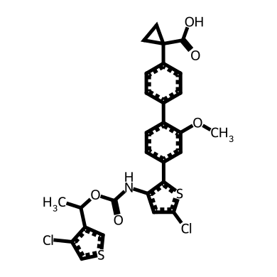 COc1cc(-c2sc(Cl)cc2NC(=O)OC(C)c2cscc2Cl)ccc1-c1ccc(C2(C(=O)O)CC2)cc1